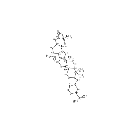 CC(C)C(=O)N1CCOC(OC2CCC34CC35CCC3(C)C6C(C[C@@]3(C)C5CCC4C2(C)C)OC(CN(C)C(N)=O)C[C@H]6C)C1